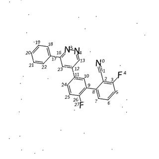 N#Cc1c(F)cccc1-c1cc(-c2cnnc(-c3ccccc3)c2)ccc1F